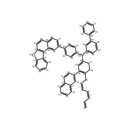 C=C/C=C\C=C/CC1=C(c2ccc3ccccc3c2)C=C(N(c2ccc(-c3ccc4ccc5oc6ccccc6c5c4c3)cc2)c2cccc(-c3ccccc3)c2)CC1